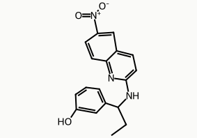 CCC(Nc1ccc2cc([N+](=O)[O-])ccc2n1)c1cccc(O)c1